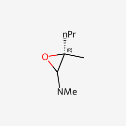 CCC[C@@]1(C)OC1NC